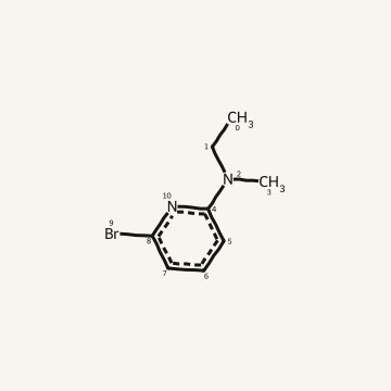 CCN(C)c1cccc(Br)n1